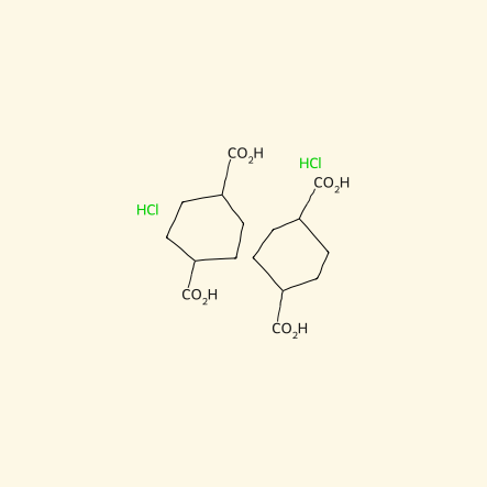 Cl.Cl.O=C(O)C1CCC(C(=O)O)CC1.O=C(O)C1CCC(C(=O)O)CC1